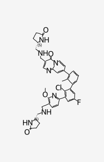 COc1nc(-c2cc(F)cc(-c3cccc(-c4ccn5c(=O)c(CNC[C@@H]6CCC(=O)N6)cnc5c4)c3C)c2Cl)ccc1CNC[C@@H]1CCC(=O)N1